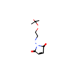 CC(C)(O)OCCNN1C(=O)C=CC1=O